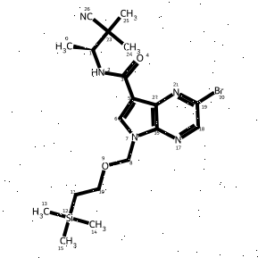 C[C@H](NC(=O)c1cn(COCC[Si](C)(C)C)c2ncc(Br)nc12)C(C)(C)C#N